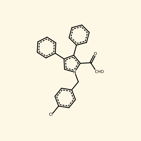 O=CC(=O)c1c(-c2ccccc2)c(-c2ccccc2)cn1Cc1ccc(Cl)cc1